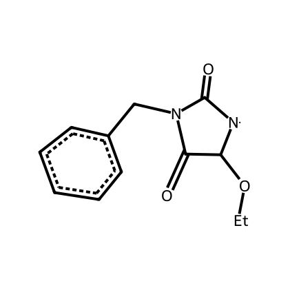 CCOC1[N]C(=O)N(Cc2ccccc2)C1=O